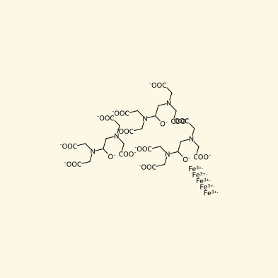 O=C([O-])CN(CC(=O)[O-])CC([O-])N(CC(=O)[O-])CC(=O)[O-].O=C([O-])CN(CC(=O)[O-])CC([O-])N(CC(=O)[O-])CC(=O)[O-].O=C([O-])CN(CC(=O)[O-])CC([O-])N(CC(=O)[O-])CC(=O)[O-].[Fe+3].[Fe+3].[Fe+3].[Fe+3].[Fe+3]